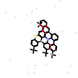 CC(C)(C)c1ccc2c(c1)B1c3cc(C(C)(C)C)ccc3N(c3c(-c4ccc([Si](C)(C)C)cc4)cccc3-c3ccc([Si](C)(C)C)cc3)c3cc(-c4ccccc4)cc(c31)S2